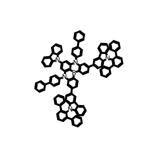 c1ccc(-c2ccc(N3c4cc(-c5ccc6c(c5)c5ccccc5n6-c5c(-c6ccccc6)cccc5-c5ccccc5)ccc4B4c5ccc(-c6ccc7c(c6)c6ccccc6n7-c6c(-c7ccccc7)cccc6-c6ccccc6)cc5N(c5ccc(-c6ccccc6)cc5)c5cc(-n6c7ccccc7c7ccccc76)cc3c54)cc2)cc1